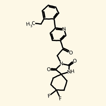 CCc1ccccc1-c1ccc(C(=O)CN2C(=O)NC3(CCC(F)(F)CC3)C2=O)cn1